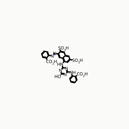 O=C(O)c1ccccc1/N=N/c1cc2c(Nc3nc(O)nc(Nc4ccccc4C(=O)O)n3)cc(S(=O)(=O)O)cc2cc1S(=O)(=O)O